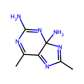 CC1=NC2(N)N=C(N)N=C(C)C2=N1